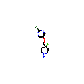 FC1(COc2cnc(Cl)nc2)CCNCC1